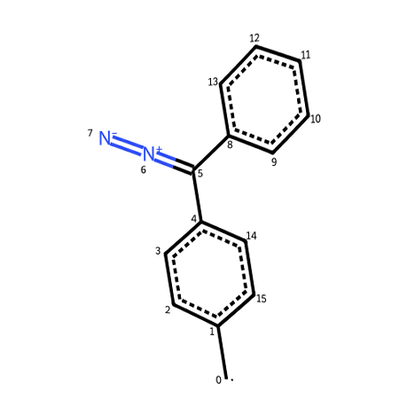 [CH2]c1ccc(C(=[N+]=[N-])c2ccccc2)cc1